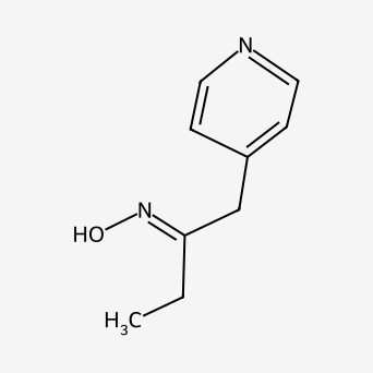 CCC(Cc1ccncc1)=NO